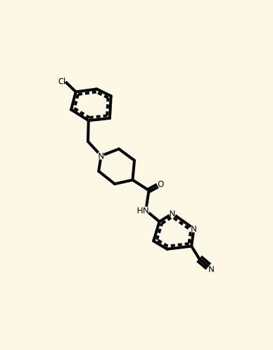 N#Cc1ccc(NC(=O)C2CCN(Cc3cccc(Cl)c3)CC2)nn1